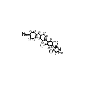 Cc1cc(=O)n(-c2ccc(N3CCC(CC4=CCC=C(C#N)C=C4)CC3)c(Cl)c2)c(C)n1